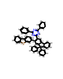 c1ccc(-c2nc(-c3ccccc3)nc(-c3cc4c(cc3-c3ccc5c(c3)sc3ccccc35)C(c3ccccc3)(c3ccccc3)c3ccccc3-4)n2)cc1